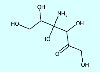 NC(O)(C(O)CO)C(O)C(=O)CO